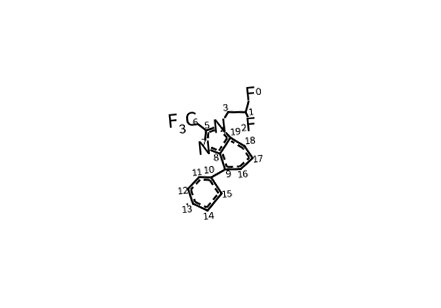 FC(F)Cn1c(C(F)(F)F)nc2c(-c3cc[c]cc3)cccc21